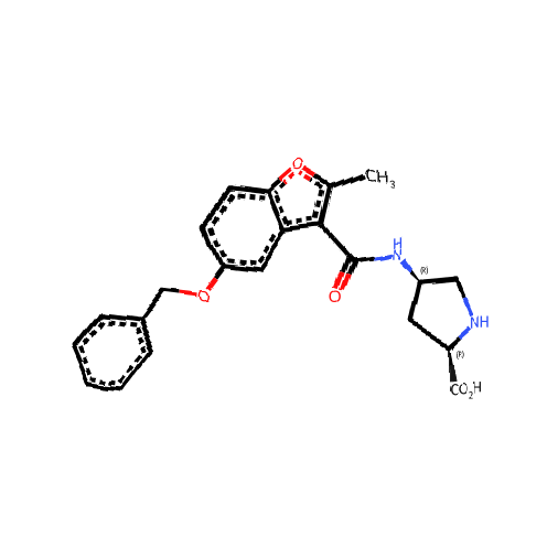 Cc1oc2ccc(OCc3ccccc3)cc2c1C(=O)N[C@H]1CN[C@@H](C(=O)O)C1